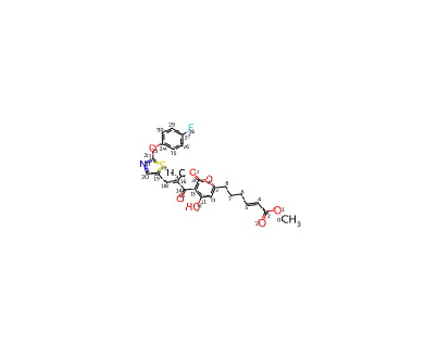 COC(=O)/C=C/CCCc1cc(O)c(C(=O)/C(C)=C/c2cnc(Oc3ccc(F)cc3)s2)c(=O)o1